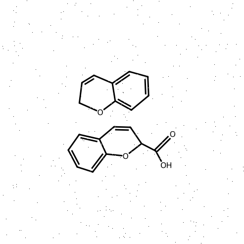 C1=Cc2ccccc2OC1.O=C(O)C1C=Cc2ccccc2O1